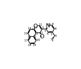 O=c1c(-c2cc(CI)ccn2)coc2ccc3ccccc3c12